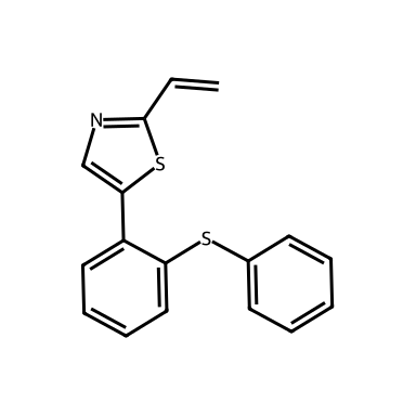 C=Cc1ncc(-c2ccccc2Sc2ccccc2)s1